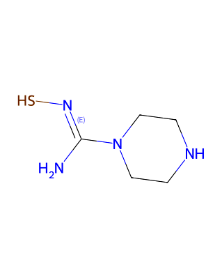 N/C(=N\S)N1CCNCC1